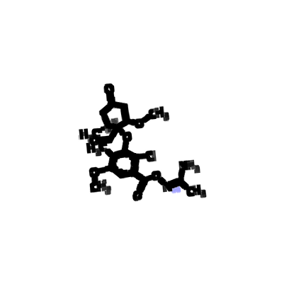 COC1=CC(=O)C[C@@H](C)[C@]1(C=O)Oc1c(C)c(OC)cc(C(=O)O/N=C(/C)N)c1Cl